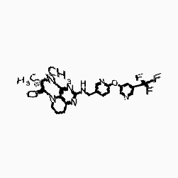 C[C@H]1C(=O)N2CCCc3nc(NCc4ccc(Oc5cncc(C(F)(F)F)c5)nc4)nc(c32)N1C